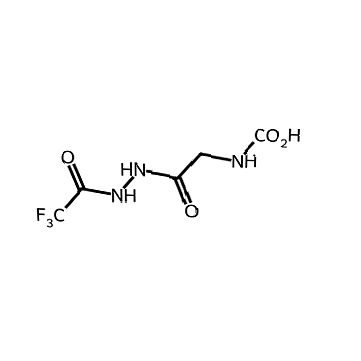 O=C(O)NCC(=O)NNC(=O)C(F)(F)F